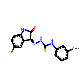 COc1cccc(NC(=S)N/N=C2\C(=O)Nc3ccc(Br)cc32)c1